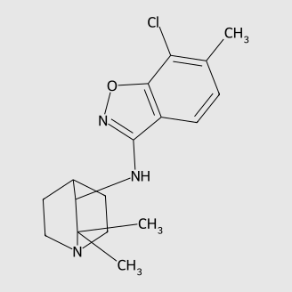 Cc1ccc2c(NC3C4CCN(CC4)C3(C)C)noc2c1Cl